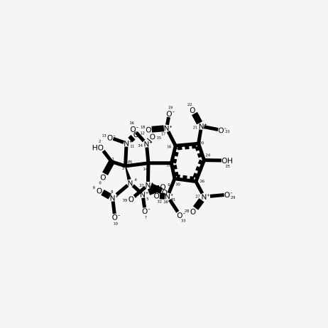 O=C(O)[C@](N([N+](=O)[O-])[N+](=O)[O-])([N+](=O)[O-])C(c1c([N+](=O)[O-])c([N+](=O)[O-])c(O)c([N+](=O)[O-])c1[N+](=O)[O-])([N+](=O)[O-])[N+](=O)[O-]